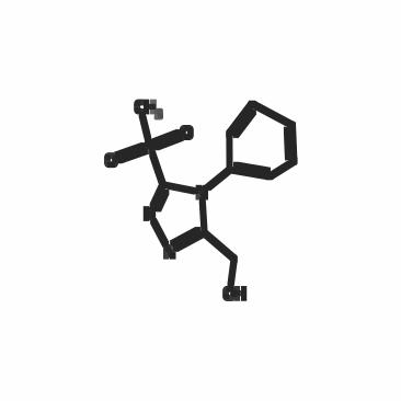 CS(=O)(=O)c1nnc(CO)n1-c1ccccc1